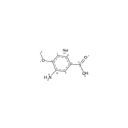 COc1ccc(S(=O)O)cc1N.[Na]